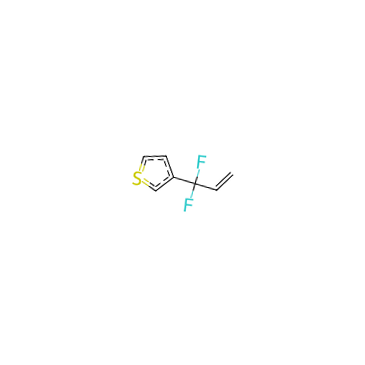 C=CC(F)(F)c1ccsc1